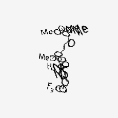 COc1ccc(/C=C/C(=O)c2cc(OC)c(OC)c(OC)c2)cc1OCC(=O)Nc1nc2cc(OC(F)(F)F)ccc2s1